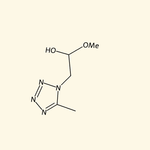 COC(O)Cn1nnnc1C